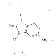 CCn1c(=O)n(C)c2cc(C)cnc21